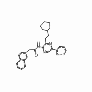 O=C(Cc1ccc2ccccc2c1)Nc1ncc(-c2ccccc2)nc1CCC1CCCCC1